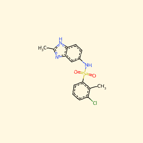 Cc1nc2cc(NS(=O)(=O)c3cccc(Cl)c3C)ccc2[nH]1